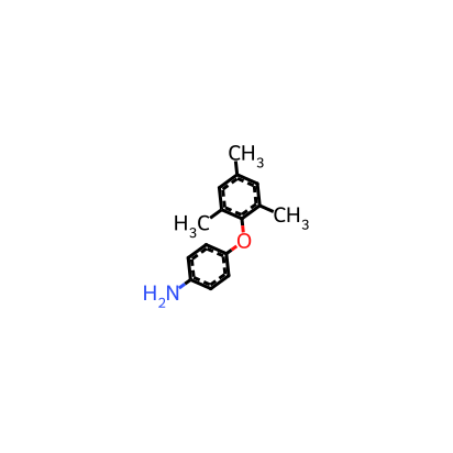 Cc1cc(C)c(Oc2ccc(N)cc2)c(C)c1